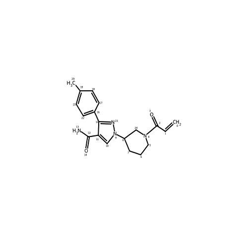 C=CC(=O)N1CCCC(n2cc(C(N)=O)c(-c3ccc(C)cc3)n2)C1